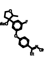 CCC(=NO)c1ccc(Oc2cc(F)cc(C3(OC)CCOC3C)c2)cc1